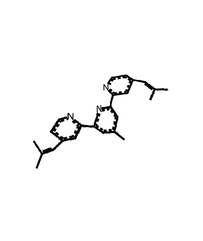 CC(C)=Cc1ccnc(-c2cc(C)cc(-c3cc(C=C(C)C)ccn3)n2)c1